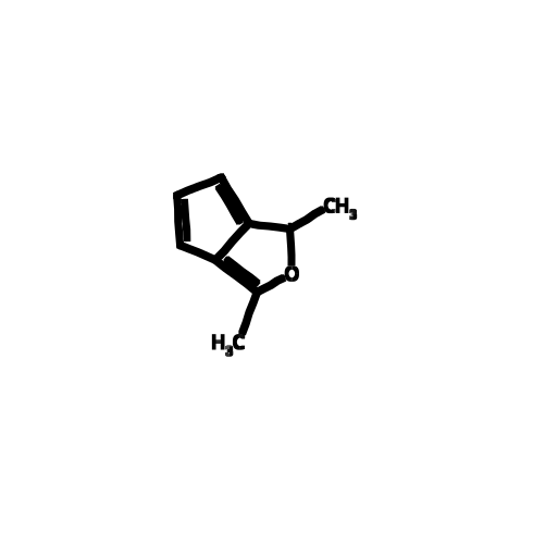 C[C]1OC(C)=C2C=CC=C12